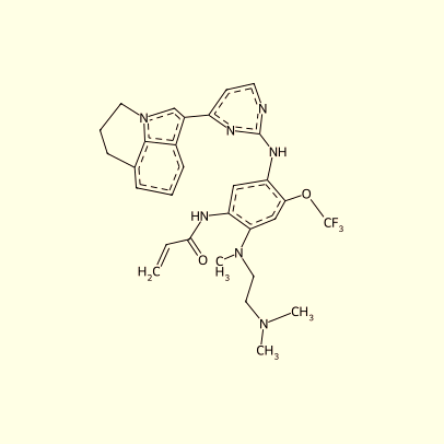 C=CC(=O)Nc1cc(Nc2nccc(-c3cn4c5c(cccc35)CCC4)n2)c(OC(F)(F)F)cc1N(C)CCN(C)C